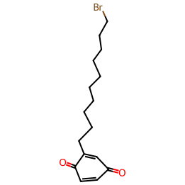 O=C1C=CC(=O)C(CCCCCCCCCCBr)=C1